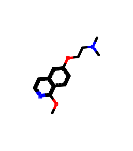 COc1nccc2cc(OCCN(C)C)ccc12